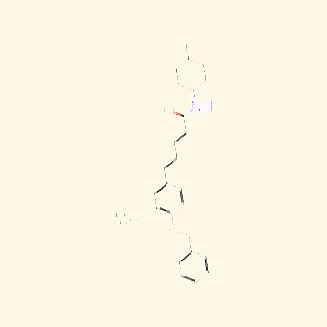 COc1cc(C=CC=CC(=O)NC2CCC(C)CC2)ccc1OCc1ccccc1